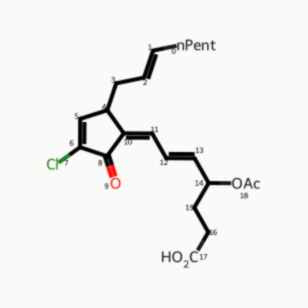 CCCCCC=CCC1C=C(Cl)C(=O)C1=CC=CC(CCC(=O)O)OC(C)=O